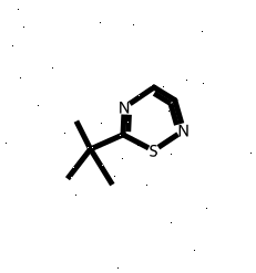 CC(C)(C)C1=NC=C=NS1